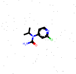 CC(C)N(C(N)=O)c1ccnc(Cl)c1